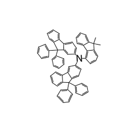 CC1(C)c2ccccc2-c2c(N(c3ccc4c(c3)-c3ccccc3C4(c3ccccc3)c3ccccc3)c3ccc4c(c3)C(c3ccccc3)(c3ccccc3)c3ccccc3-4)cccc21